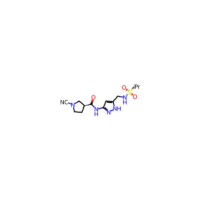 CC(C)S(=O)(=O)NCc1cc(NC(=O)[C@H]2CCN(C#N)C2)n[nH]1